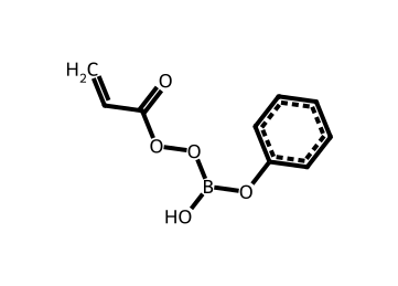 C=CC(=O)OOB(O)Oc1ccccc1